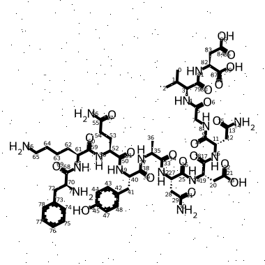 CC(C)[C@H](NC(=O)CNC(=O)[C@H](CC(N)=O)NC(=O)[C@H](CC(=O)O)NC(=O)[C@H](CC(N)=O)NC(=O)[C@H](C)NC(=O)[C@H](Cc1ccc(O)cc1)NC(=O)[C@H](CCC(N)=O)NC(=O)[C@H](CCCCN)NC(=O)[C@@H](N)Cc1ccccc1)C(=O)N[C@@H](CC(=O)O)C(=O)O